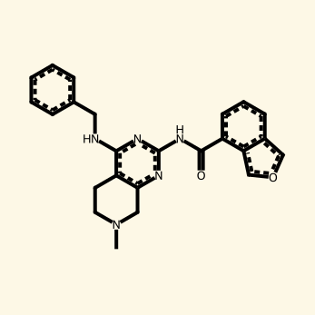 CN1CCc2c(nc(NC(=O)c3cccc4cocc34)nc2NCc2ccccc2)C1